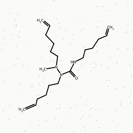 C=CCCCCNC(=O)N(CCCCC=C)N(C)CCCCC=C